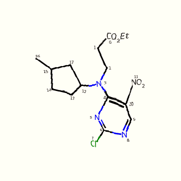 CCOC(=O)CCN(c1nc(Cl)ncc1[N+](=O)[O-])C1CCC(C)C1